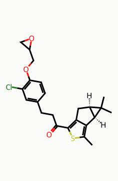 Cc1sc(C(=O)CCc2ccc(OCC3CO3)c(Cl)c2)c2c1[C@H]1[C@@H](C2)C1(C)C